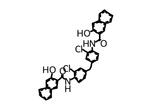 O=C(Nc1ccc(Cc2ccc(NC(=O)c3cc4ccccc4cc3O)c(Cl)c2)cc1Cl)c1cc2ccccc2cc1O